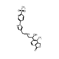 Cc1c(C(O)CNCc2cnn(-c3ccc(S(C)(=O)=O)nc3)c2)ccc2c1COC2=O